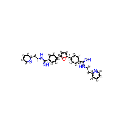 N=C(NCCc1ccccn1)c1ccc(-c2ccc(-c3ccc(C(=N)NCCc4ccccn4)cc3)o2)cc1